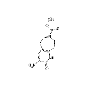 CC(C)(C)OC(=O)N1CCc2cc([N+](=O)[O-])c(=O)[nH]c2CC1